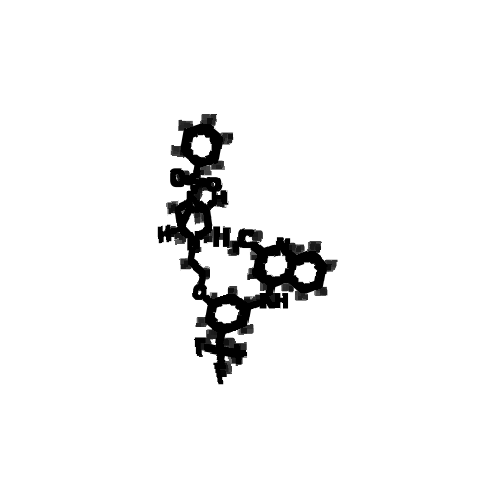 Cc1cc(Nc2cc(OCCN3C[C@@H]4C[C@H]3CN4S(=O)(=O)c3ccccc3)cc(C(F)(F)F)c2)c2ccccc2n1